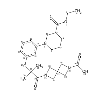 CCOC(=O)C1CCCN(c2cccc(OC(C)(C)C(=O)N3CC4(CN(C(=O)O)C4)C3)c2)C1